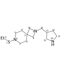 CCSN1CCC2(CC1)CN(CC1CCNC1)C2